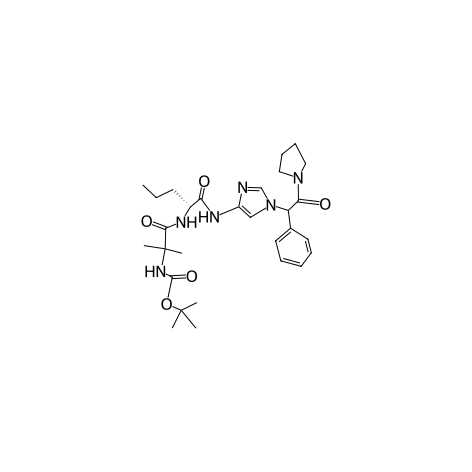 CCC[C@@H](NC(=O)C(C)(C)NC(=O)OC(C)(C)C)C(=O)Nc1cn(C(C(=O)N2CCCC2)c2ccccc2)cn1